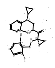 O=C(C1CN(C2CC2)c2ccccc2N1)C1(OCc2c(Cl)cccc2Cl)CC1